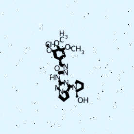 COc1cc(-c2nnc(Nc3nc(N4CCC[C@H]4CO)c4cccn4n3)o2)cc(OC)c1OC